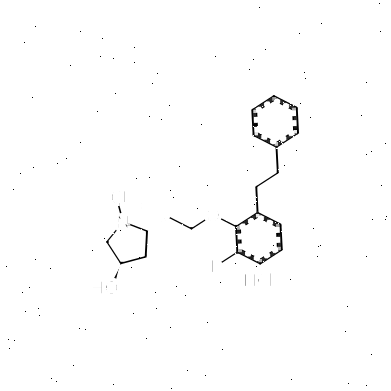 CN1C[C@H](O)C[C@H]1CCOc1c(F)cccc1CCc1ccccc1.Cl